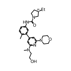 CC[C@@H]1CCN(C(=O)Nc2ccc(C)c(-c3cc(N(C)CCO)nc(N4CCOCC4)c3)c2)C1